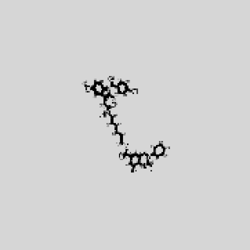 CCN(Cc1cc(C(=O)OCCCCCCNC(=O)Cc2c(C)n(C(=O)c3ccc(Cl)cc3)c3ccc(OC)cc23)cc(Br)c1N)C1CCCCC1